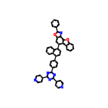 c1ccc(-c2nc3c(cc(-c4ccc(-c5ccc(-c6nc(-c7ccncc7)nc(-c7ccncc7)n6)cc5)c5ccccc45)c4c5ccccc5oc34)o2)cc1